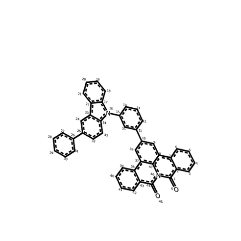 O=c1c2ccccc2c2cc(-c3cccc(-n4c5ccccc5c5cc(-c6ccccc6)ccc54)c3)cc3c4ccccc4c(=O)n1c23